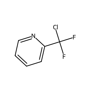 FC(F)(Cl)c1ccccn1